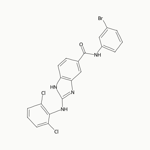 O=C(Nc1cccc(Br)c1)c1ccc2[nH]c(Nc3c(Cl)cccc3Cl)nc2c1